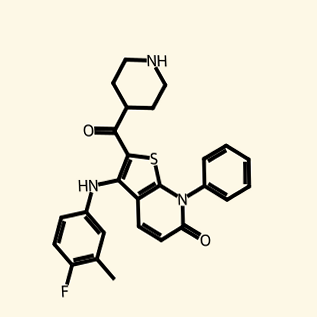 Cc1cc(Nc2c(C(=O)C3CCNCC3)sc3c2ccc(=O)n3-c2ccccc2)ccc1F